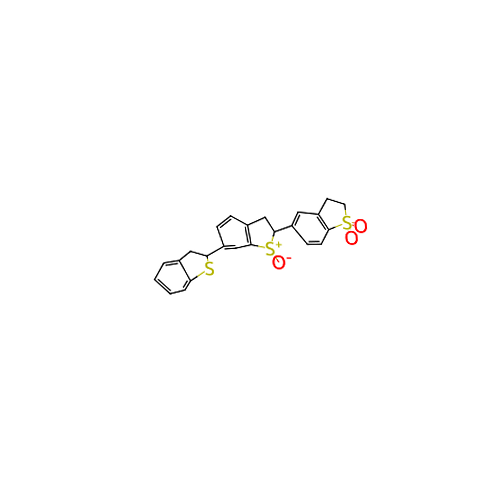 O=S1(=O)CCc2cc(C3Cc4ccc(C5Cc6ccccc6S5)cc4[S+]3[O-])ccc21